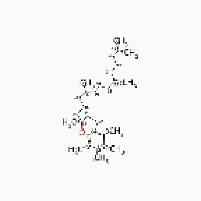 Cc1c(C)c(C)c2c(c1C)CCC(C)(CCCC(C)CCCC(C)CCCC(C)C)O2